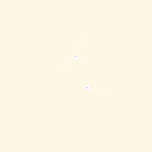 CC=CC(=O)NCCCN1C(=O)c2ccccc2C1=O